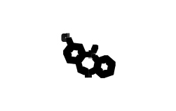 CN1c2cc(Cl)ccc2C=Nc2ccccc21